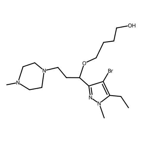 CCc1c(Br)c(C(CCN2CCN(C)CC2)OCCCCO)nn1C